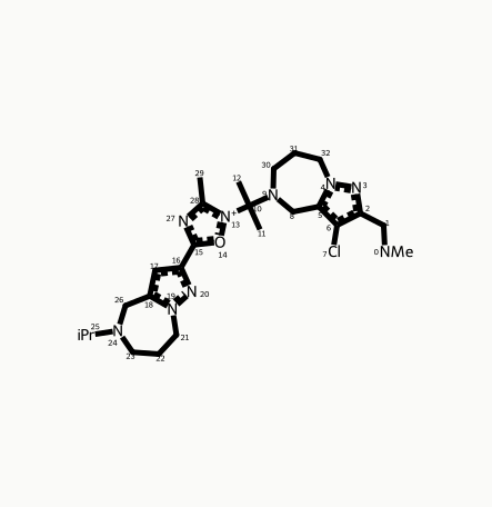 CNCc1nn2c(c1Cl)CN(C(C)(C)[n+]1oc(-c3cc4n(n3)CCCN(C(C)C)C4)nc1C)CCC2